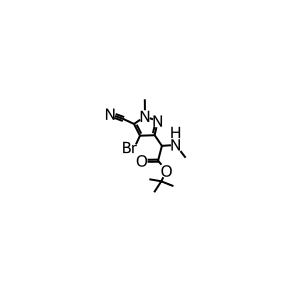 CNC(C(=O)OC(C)(C)C)c1nn(C)c(C#N)c1Br